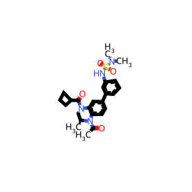 CC(=O)N1c2ccc(-c3cccc(NS(=O)(=O)N(C)C)c3)cc2N(C(=O)C2CCC2)C[C@@H]1C